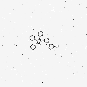 Clc1cccc(-c2cccc(-c3sc(-c4ccccc4)c(-c4ccccc4)c3-c3ccccc3)c2)c1